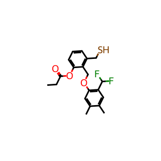 CCC(=O)Oc1cccc(CS)c1COc1cc(C)c(C)cc1C(F)F